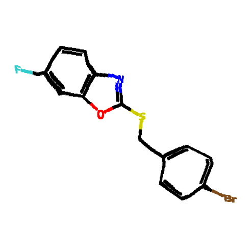 Fc1ccc2nc(SCc3ccc(Br)cc3)oc2c1